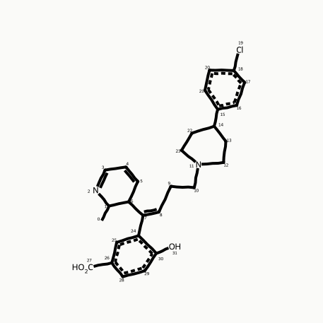 CC1N=CC=CC1/C(=C\CCN1CCC(c2ccc(Cl)cc2)CC1)c1cc(C(=O)O)ccc1O